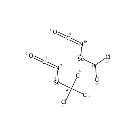 O=C=N[Se]C(Cl)(Cl)Cl.O=C=N[Se]C(Cl)Cl